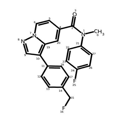 CN(C(=O)c1ccn2ncc(-c3ccc(CF)cc3)c2c1)c1ccc(F)cc1